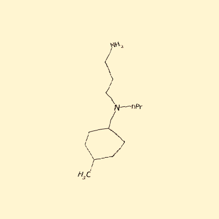 CCCN(CCCN)C1CCC(C)CC1